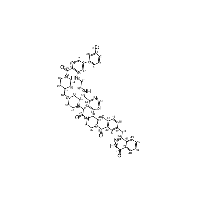 CCc1cccc(-c2cnc(C(=O)N3CCC(CN4CCN(CC(=O)N5CCN(C(=O)c6cc(Cc7n[nH]c(=O)c8ccccc78)ccc6F)CC5)CC4)CC3)c(NCCNCc3ccncn3)c2)c1